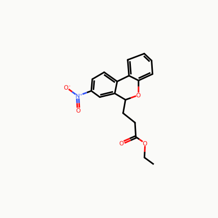 CCOC(=O)CCC1Oc2ccccc2-c2ccc([N+](=O)[O-])cc21